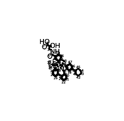 O=C(NC[C@@H](O)C(=O)O)c1ccc(CN(C(=O)NCc2ccccc2-c2cccc(OC(F)(F)F)c2)c2ccc(C3=CCCCC3)cc2)cc1